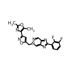 Cc1nc(-c2cc(Cn3cc4nc(-c5cccc(F)c5F)nc-4cn3)on2)c(C)o1